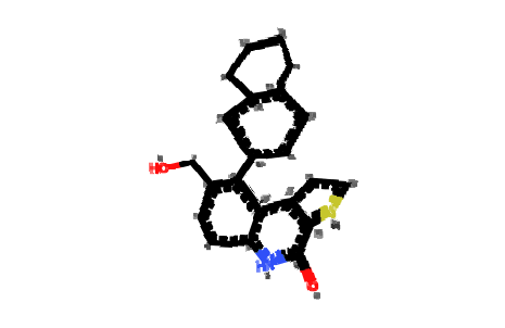 O=c1[nH]c2ccc(CO)c(-c3ccc4c(c3)CCCC4)c2c2ccsc12